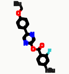 CCCCc1ccc(C(=O)Oc2cnc(-c3ccc(OCC(C)CC)cc3)cn2)c(F)c1